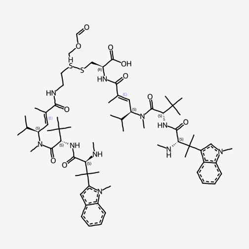 CN[C@H](C(=O)N[C@H](C(=O)N(C)[C@H](/C=C(\C)C(=O)N[C@@H](CS[SH](CCNC(=O)/C(C)=C/[C@H](C(C)C)N(C)C(=O)[C@@H](NC(=O)[C@@H](NC)C(C)(C)c1cc2ccccc2n1C)C(C)(C)C)COC=O)C(=O)O)C(C)C)C(C)(C)C)C(C)(C)c1cn(C)c2ccccc12